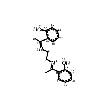 C/C(=N/CC/N=C(\C)c1ccccc1O)c1ccccc1O